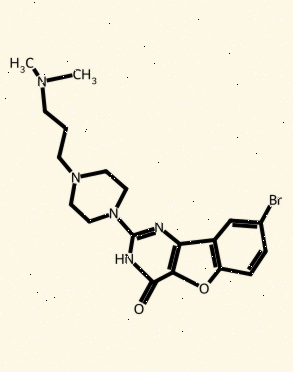 CN(C)CCCN1CCN(c2nc3c(oc4ccc(Br)cc43)c(=O)[nH]2)CC1